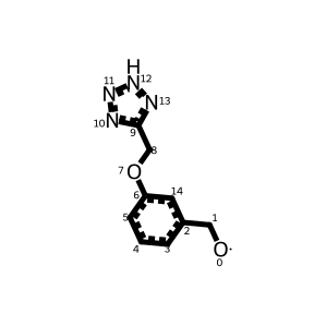 [O]Cc1cccc(OCc2nn[nH]n2)c1